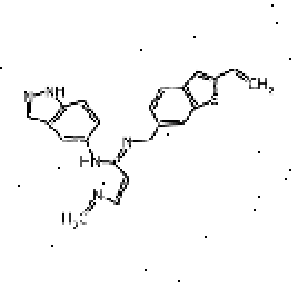 C=Cc1cc2ccc(C/N=C(\C=C/N=C)Nc3ccc4[nH]ncc4c3)cc2s1